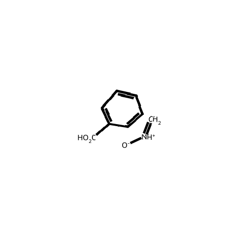 C=[NH+][O-].O=C(O)c1ccccc1